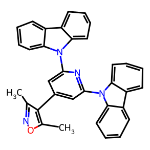 Cc1noc(C)c1-c1cc(-n2c3ccccc3c3ccccc32)nc(-n2c3ccccc3c3ccccc32)c1